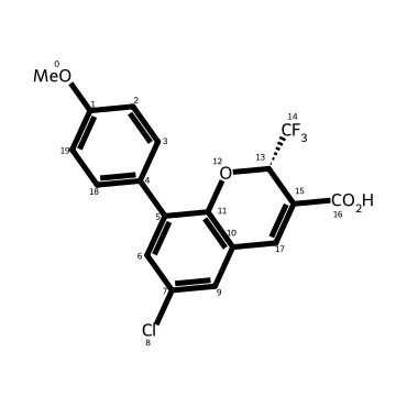 COc1ccc(-c2cc(Cl)cc3c2O[C@H](C(F)(F)F)C(C(=O)O)=C3)cc1